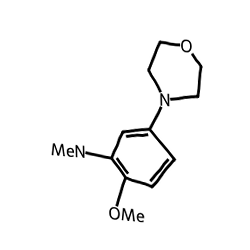 CNc1cc(N2CCOCC2)ccc1OC